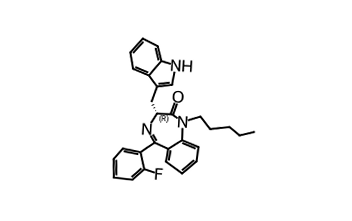 CCCCCN1C(=O)[C@@H](Cc2c[nH]c3ccccc23)N=C(c2ccccc2F)c2ccccc21